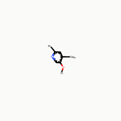 CCOc1cnc(C(C)C)cc1OC